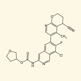 Cc1c(-c2cc3cc(NC(=O)OC4CCOC4)ncc3c(Cl)c2F)cnc2c1C(C#N)CCO2